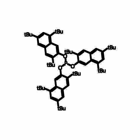 CC(C)(C)c1cc(C(C)(C)C)c2cc(OP(Oc3cc4c(C(C)(C)C)cc(C(C)(C)C)cc4cc3C(C)(C)C)Oc3cc4c(C(C)(C)C)cc(C(C)(C)C)cc4cc3C(C)(C)C)c(C(C)(C)C)cc2c1